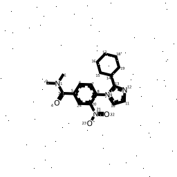 CN(C)C(=O)c1ccc(-n2ccnc2C2CCCCC2)c([N+](=O)[O-])c1